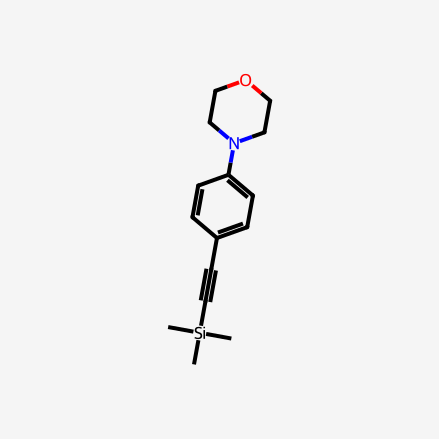 C[Si](C)(C)C#Cc1ccc(N2CCOCC2)cc1